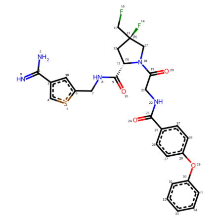 N=C(N)c1csc(CNC(=O)[C@@H]2C[C@](F)(CF)CN2C(=O)CNC(=O)c2ccc(Oc3ccccc3)cc2)c1